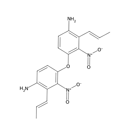 CC=Cc1c(N)ccc(Oc2ccc(N)c(C=CC)c2[N+](=O)[O-])c1[N+](=O)[O-]